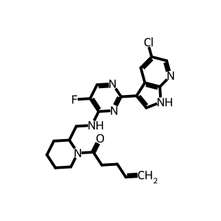 C=CCCC(=O)N1CCCCC1CNc1nc(-c2c[nH]c3ncc(Cl)cc23)ncc1F